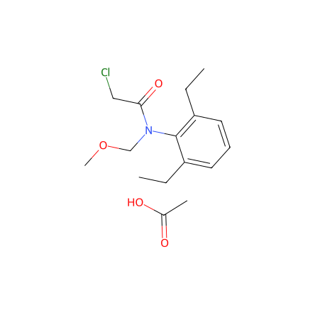 CC(=O)O.CCc1cccc(CC)c1N(COC)C(=O)CCl